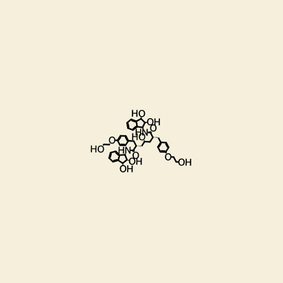 O=C(N[C@H]1c2ccccc2[C@@H](O)[C@H]1O)[C@H](Cc1ccc(OCCO)cc1)CC(O)C[C@@H](Cc1ccc(OCCO)cc1)C(=O)N[C@H]1c2ccccc2[C@@H](O)[C@H]1O